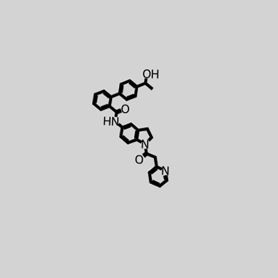 CC(O)c1ccc(-c2ccccc2C(=O)Nc2ccc3c(c2)CCN3C(=O)Cc2ccccn2)cc1